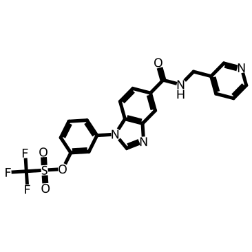 O=C(NCc1cccnc1)c1ccc2c(c1)ncn2-c1cccc(OS(=O)(=O)C(F)(F)F)c1